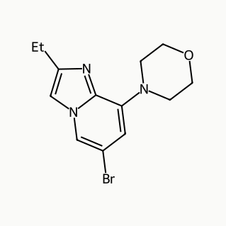 CCc1cn2cc(Br)cc(N3CCOCC3)c2n1